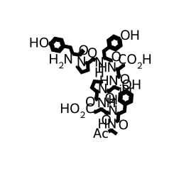 CC(=O)C(C)NC(=O)C(Cc1ccc(O)cc1)NC(=O)C(CC(=O)O)NC(=O)C1CCCN1C(=O)C(NC(=O)C(CC(=O)O)NC(=O)C(Cc1ccc(O)cc1)NC(=O)C1CCCN1C(=O)C(N)Cc1ccc(O)cc1)C(C)C